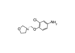 Nc1ccc(OC[C@@H]2CCOC2)c(Cl)c1